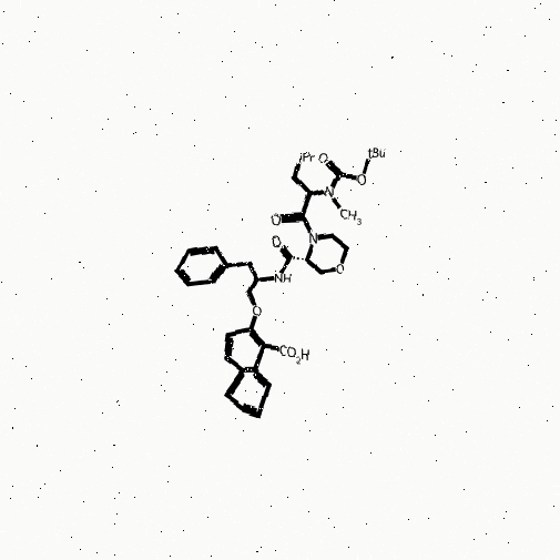 CC(C)CC(C(=O)N1CCOC[C@@H]1C(=O)NC(COc1ccc2ccccc2c1C(=O)O)Cc1ccccc1)N(C)C(=O)OC(C)(C)C